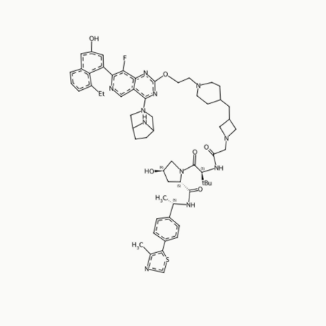 CCc1cccc2cc(O)cc(-c3ncc4c(N5CC6CCC(C5)N6)nc(OCCN5CCC(CC6CN(CC(=O)N[C@H](C(=O)N7C[C@H](O)C[C@H]7C(=O)N[C@@H](C)c7ccc(-c8scnc8C)cc7)C(C)(C)C)C6)CC5)nc4c3F)c12